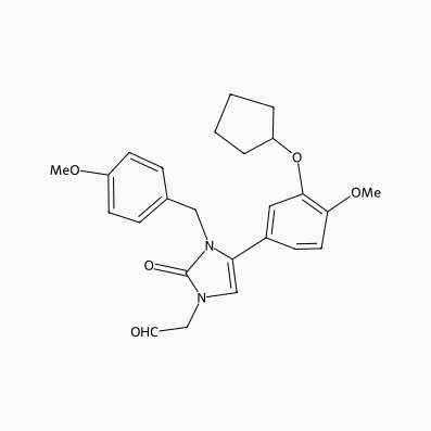 COc1ccc(Cn2c(-c3ccc(OC)c(OC4CCCC4)c3)cn(CC=O)c2=O)cc1